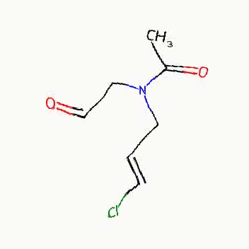 CC(=O)N(CC=O)CC=CCl